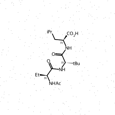 CC[C@H](NC(C)=O)C(=O)N[C@H](C(=O)N[C@@H](CC(C)C)C(=O)O)C(C)(C)C